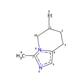 CCC1CCc2cnc(C)n2C1